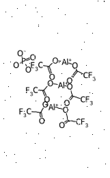 O=C([O][Al+][O]C(=O)C(F)(F)F)C(F)(F)F.O=C([O][Al+][O]C(=O)C(F)(F)F)C(F)(F)F.O=C([O][Al+][O]C(=O)C(F)(F)F)C(F)(F)F.O=P([O-])([O-])[O-]